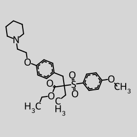 CCOC(=O)C(CC)(Cc1ccc(OCCN2CCCCC2)cc1)S(=O)(=O)c1ccc(OC)cc1